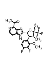 COc1c([C@H]2[C@H](c3nc4c(C(N)=O)nccc4[nH]3)O[C@@](C)(C(F)(F)F)[C@H]2C)ccc(F)c1F